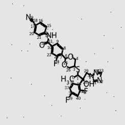 CC(SC1COC(c2ccc(C(=O)Nc3ccc(C#N)cc3)cc2F)OC1)C(O)(Cn1cncn1)c1ccc(F)cc1F